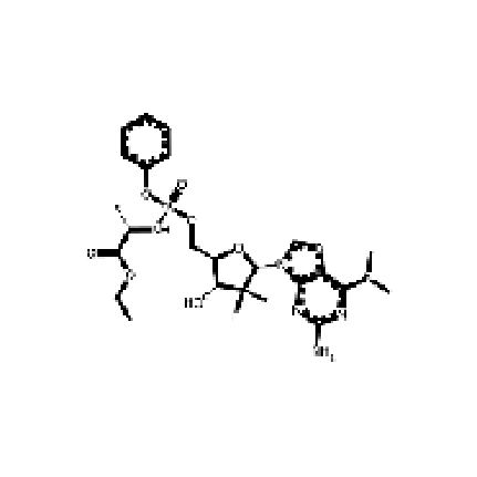 CCOC(=O)[C@H](C)N[P@@](=O)(OC[C@H]1O[C@@H](n2cnc3c(N(C)C)nc(N)nc32)[C@](C)(F)[C@@H]1O)Oc1ccccc1